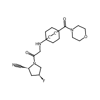 N#C[C@@H]1C[C@H](F)CN1C(=O)CNC12CCC(C(=O)N3CCOCC3)(CC1)CC2